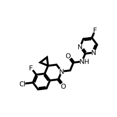 O=C(CN1CC2(CC2)c2c(ccc(Cl)c2F)C1=O)Nc1ncc(F)cn1